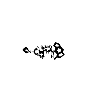 CC1CCc2cc3c(c(NC(=O)N=S(N)(=O)c4cnn5c4OC[C@@H](N4CCC4)C5)c21)CCC3